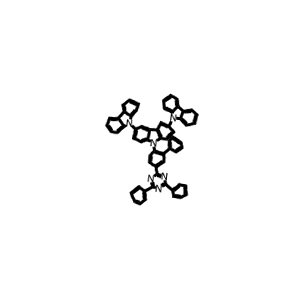 c1ccc(-c2nc(-c3ccccc3)nc(-c3ccc(-n4c5ccc(-n6c7ccccc7c7ccccc76)cc5c5cc(-n6c7ccccc7c7ccccc76)ccc54)c(-c4ccccc4)c3)n2)cc1